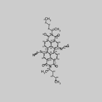 CCCCC(C)N1C(=O)c2ccc3c4c(SC#N)cc5c6c(ccc(c7c(N=C=S)cc(c2c37)C1=O)c64)C(=O)N(C(C)CCCC)C5=O